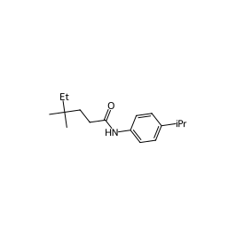 CCC(C)(C)CCC(=O)Nc1ccc(C(C)C)cc1